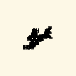 C#Cc1cc(O)ccc1C1=C(C)c2cc(O)ccc2OC1c1ccc(OCC(C)N2CCC(C)C2)cc1